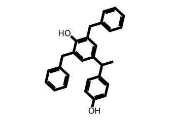 CC(c1ccc(O)cc1)c1cc(Cc2ccccc2)c(O)c(Cc2ccccc2)c1